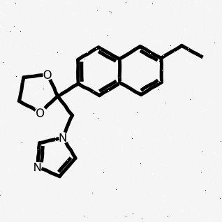 CCc1ccc2cc(C3(Cn4ccnc4)OCCO3)ccc2c1